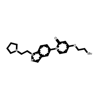 CC(C)(C)CCOc1ccn(-c2ccc3c(cnn3CCN3CCCC3)c2)c(=O)c1